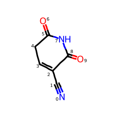 N#CC1=CCC(=O)NC1=O